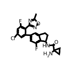 Cc1nc(-c2c(F)cc(Cl)cc2-c2cc(F)c3c(c2)CCC3NC(=O)C2(N)CC2)no1